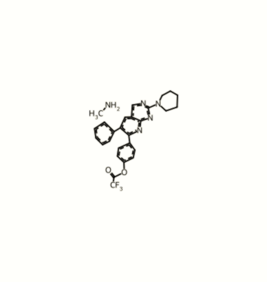 CN.O=C(Oc1ccc(-c2nc3nc(N4CCCCC4)ncc3cc2-c2ccccc2)cc1)C(F)(F)F